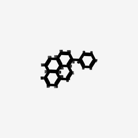 [c]1cc2c(-c3ccccc3)ccc3ccc4cccc1c4c32